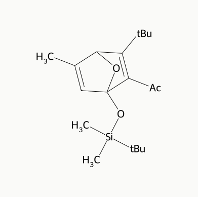 CC(=O)C1=C(C(C)(C)C)C2OC1(O[Si](C)(C)C(C)(C)C)C=C2C